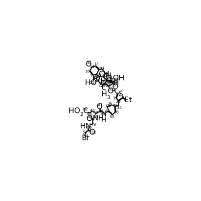 CCc1sc([C@@H]2O[C@@H]3C[C@H]4[C@@H]5CCC6=CC(=O)C=C[C@]6(C)[C@H]5[C@@H](O)C[C@]4(C)[C@]3(C(=O)CO)O2)cc1Cc1ccc(NC(=O)[C@H](CCC(=O)O)NC(=O)CNC(=O)CBr)cc1